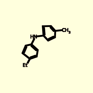 CCc1ccc(Nc2ccc(C)cc2)cc1